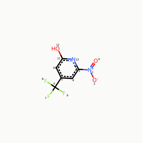 O=[N+]([O-])c1cc(C(F)(F)F)cc(O)n1